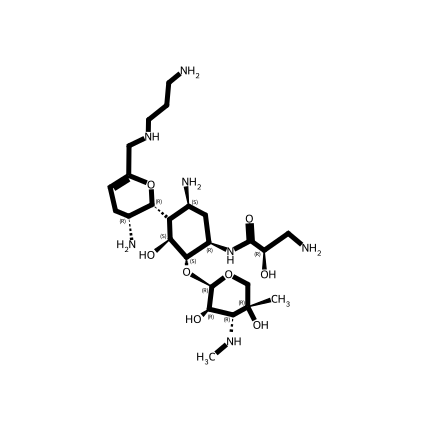 CN[C@@H]1[C@@H](O)[C@@H](O[C@H]2[C@H](NC(=O)[C@H](O)CN)C[C@H](N)C([C@H]3OC(CNCCCN)=CC[C@H]3N)[C@@H]2O)OC[C@]1(C)O